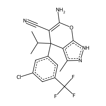 Cc1n[nH]c2c1C(c1cc(Cl)cc(C(F)(F)F)c1)(C(C)C)C(C#N)=C(N)O2